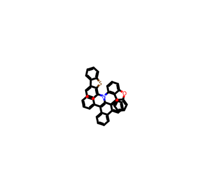 c1ccc(-c2c(N(c3cccc4c3sc3ccccc34)c3cccc4oc5ccccc5c34)c3ccccc3c3ccccc23)cc1